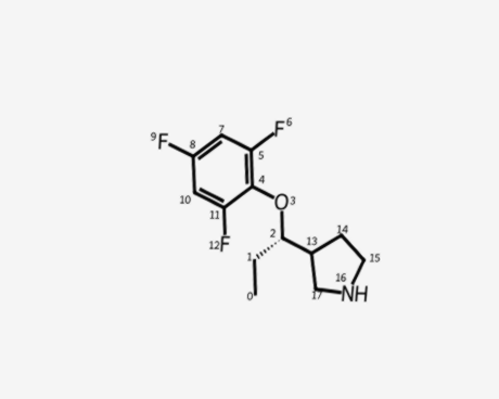 CC[C@H](Oc1c(F)cc(F)cc1F)C1CCNC1